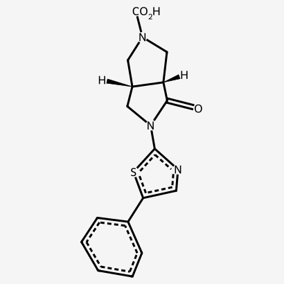 O=C(O)N1C[C@H]2CN(c3ncc(-c4ccccc4)s3)C(=O)[C@H]2C1